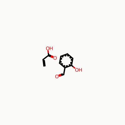 C=CC(=O)O.O=Cc1ccccc1O